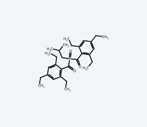 CCc1cc(CC)c(C(=O)P(=O)(CC(C)C)C(=O)c2c(CC)cc(CC)cc2CC)c(CC)c1